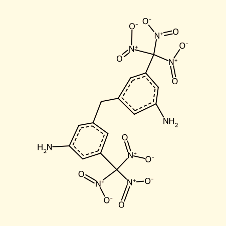 Nc1cc(Cc2cc(N)cc(C([N+](=O)[O-])([N+](=O)[O-])[N+](=O)[O-])c2)cc(C([N+](=O)[O-])([N+](=O)[O-])[N+](=O)[O-])c1